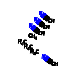 C.C.C.C.C#N.C#N.C#N.C#N